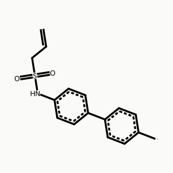 [CH2]c1ccc(-c2ccc(NS(=O)(=O)CC=C)cc2)cc1